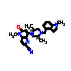 C[C@@H]1CN(c2cc(=O)n(C)c3ccc(C#N)nc23)[C@@H](C)CN1Cc1cccc2c1ccn2C